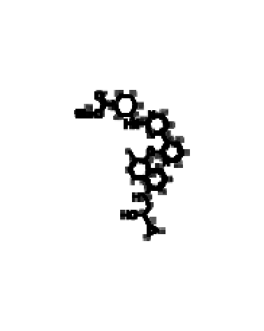 Cc1ccc2c(NCC(O)C3CC3)cccc2c1Oc1ncccc1-c1ccnc(NC2CCCN(C(=O)OC(C)(C)C)C2)n1